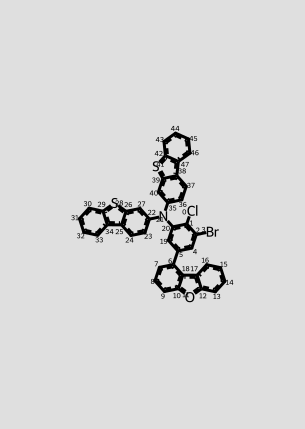 Clc1c(Br)cc(-c2cccc3oc4ccccc4c23)cc1N(c1ccc2c(c1)sc1ccccc12)c1ccc2c(c1)sc1ccccc12